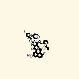 C#Cc1c(F)ccc2cc(O)cc(-c3ncc4c(N(C)C[C@@H]5CCCN5C(=O)C=C)nc(OC[C@]5(C)C[C@@H](F)CN5C5CCOCC5)nc4c3F)c12